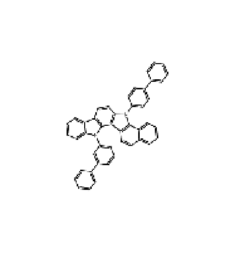 c1ccc(-c2ccc(-n3c4ccc5c6ccccc6n(-c6cccc(-c7ccccc7)c6)c5c4c4ccc5ccccc5c43)cc2)cc1